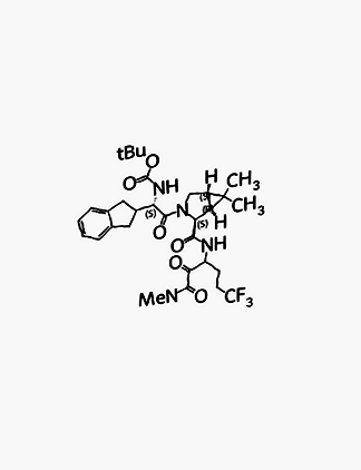 CNC(=O)C(=O)C(CCC(F)(F)F)NC(=O)[C@@H]1[C@@H]2[C@H](CN1C(=O)[C@@H](NC(=O)OC(C)(C)C)C1Cc3ccccc3C1)C2(C)C